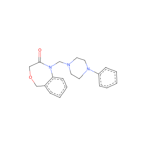 O=C1COCc2ccccc2N1CN1CCN(c2ccccc2)CC1